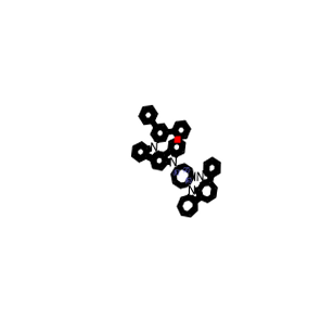 C1=Cc2c3c(n(/C4=C/C=C\C(n5c6ccccc6c6c5ccc5c7ccccc7n(-c7cc(-c8ccccc8)cc(-c8ccccc8)c7)c56)=C/CC4)c2CCC1)-c1[nH]c2ccccc2c1C=CC3